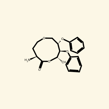 C[C@@H]1OC(=O)[C@@H](N)CCOC[C@H](Oc2ccccc2)[C@H]1Oc1ccccc1